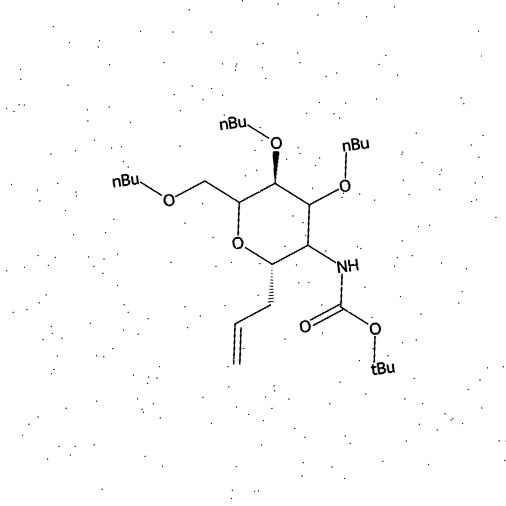 C=CC[C@@H]1OC(COCCCC)[C@@H](OCCCC)C(OCCCC)C1NC(=O)OC(C)(C)C